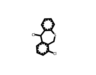 Clc1cccc2c1CSc1ccccc1C2Cl